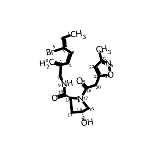 C=C(/C=C\C(Br)=C/C)CNC(=O)[C@@H]1C[C@@H](O)CN1C(=O)Cc1cc(C)no1